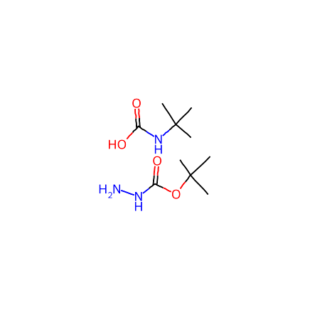 CC(C)(C)NC(=O)O.CC(C)(C)OC(=O)NN